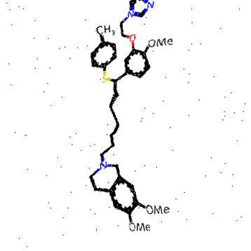 COc1cc2c(cc1OC)CN(CCCCCCC(Sc1ccc(C)cc1)c1ccc(OC)c(OCCn3ccnc3)c1)CC2